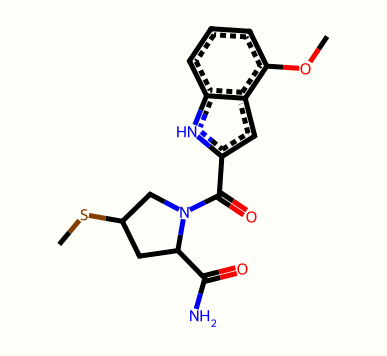 COc1cccc2[nH]c(C(=O)N3CC(SC)CC3C(N)=O)cc12